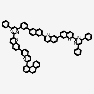 c1ccc(-c2cc(-c3ccccc3)nc(-c3ccc4ccc(-c5ccc6ccc(-c7ccc8cc(-c9cccc(-c%10cc(-c%11ccccc%11)nc(-c%11ccc%12ccc(-c%13ccc%14ccc(-c%15cccc%16ccc%17ccccc%17c%15%16)nc%14c%13)cc%12n%11)n%10)c9)ccc8c7)nc6c5)cc4n3)n2)cc1